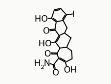 NC(=O)C1=C(O)CCC2CC3Cc4c(I)ccc(O)c4C(=O)C3=C(O)C2C1=O